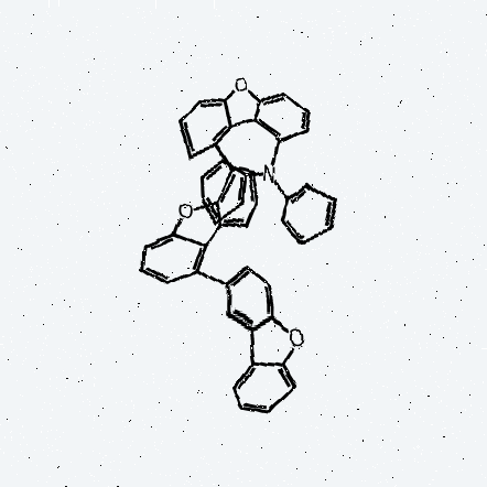 c1ccc(N(c2ccccc2)c2cccc3oc4cccc(-c5cccc6c5oc5cccc(-c7ccc8oc9ccccc9c8c7)c56)c4c23)cc1